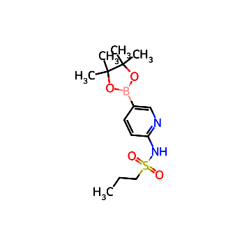 CCCS(=O)(=O)Nc1ccc(B2OC(C)(C)C(C)(C)O2)cn1